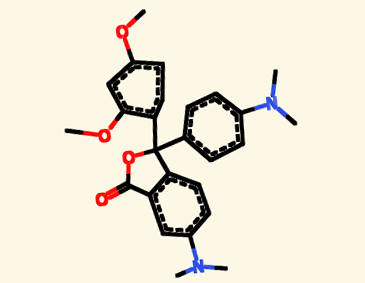 COc1ccc(C2(c3ccc(N(C)C)cc3)OC(=O)c3cc(N(C)C)ccc32)c(OC)c1